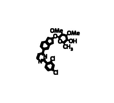 CO[C@@H]1[C@@H](O)[C@H](C)O[C@@H](OC2Cc3ccc(-c4ccnc(-c5ccc(Cl)cc5Cl)n4)cc3C2)[C@@H]1OC